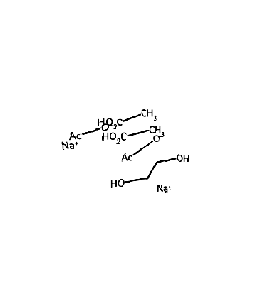 CC(=O)O.CC(=O)O.CC(=O)[O-].CC(=O)[O-].OCCO.[Na+].[Na+]